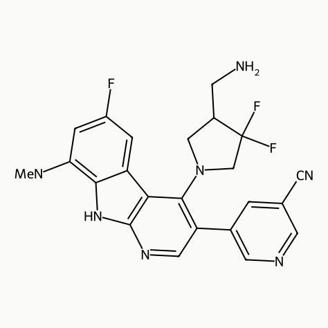 CNc1cc(F)cc2c1[nH]c1ncc(-c3cncc(C#N)c3)c(N3CC(CN)C(F)(F)C3)c12